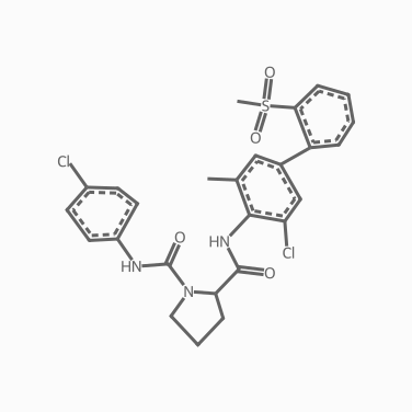 Cc1cc(-c2ccccc2S(C)(=O)=O)cc(Cl)c1NC(=O)C1CCCN1C(=O)Nc1ccc(Cl)cc1